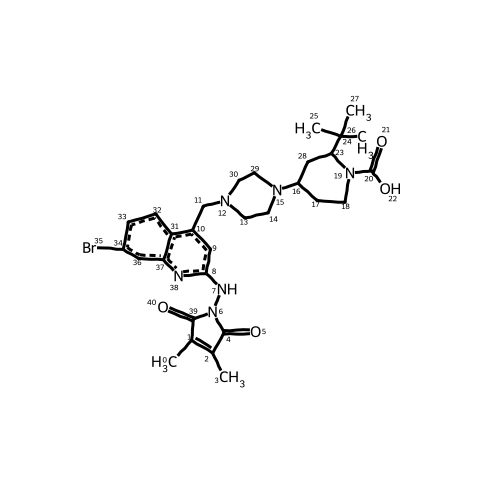 CC1=C(C)C(=O)N(Nc2cc(CN3CCN(C4CCN(C(=O)O)C(C(C)(C)C)C4)CC3)c3ccc(Br)cc3n2)C1=O